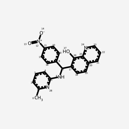 Cc1cccc(NC(c2ccc([N+](=O)[O-])cc2)c2ccc3cccnc3c2O)n1